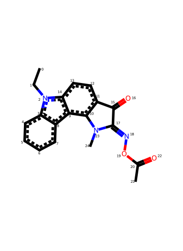 CCn1c2ccccc2c2c3c(ccc21)C(=O)/C(=N/OC(C)=O)N3C